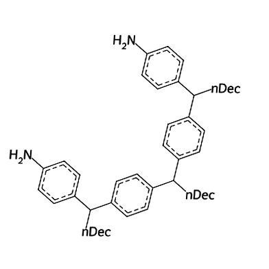 CCCCCCCCCCC(c1ccc(N)cc1)c1ccc(C(CCCCCCCCCC)c2ccc(C(CCCCCCCCCC)c3ccc(N)cc3)cc2)cc1